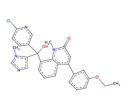 CCOc1cccc(-c2cc(=O)n(C)c3c(C(O)(c4ccc(Cl)nc4)c4cncn4C)cccc23)c1